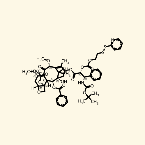 CO[C@H]1C(=O)[C@]2(C)[C@@H](OC)C[C@H]3OC[C@@]3(OC(C)=O)[C@H]2[C@H](OC(=O)c2ccccc2)[C@]2(O)C[C@H](OC(=O)[C@H](OC(=O)OCCSSc3ccccn3)[C@@H](NC(=O)OC(C)(C)C)c3ccccc3)C(C)=C1C2(C)C